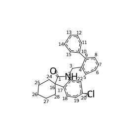 O=C(NCc1ccccc1-c1ccccc1)C1(c2ccc(Cl)cc2)CCCCC1